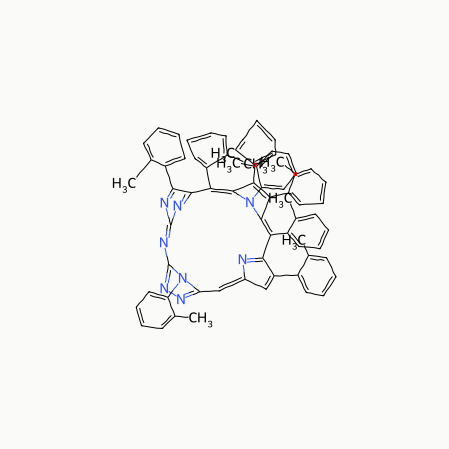 Cc1ccccc1C1=Cc2cc3nnc(nc4nc(c(-c5ccccc5C)c5c(-c6ccccc6C)c(-c6ccccc6C)c(c(-c6ccccc6C)c1n2)n5-c1ccccc1C)C(c1ccccc1C)=N4)n3-c1ccccc1C